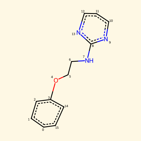 c1ccc(OCCNc2ncccn2)cc1